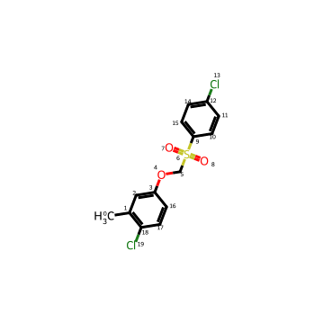 Cc1cc(OCS(=O)(=O)c2ccc(Cl)cc2)ccc1Cl